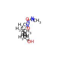 CC(CCC(=O)N1CCN(C(=O)c2cnn(C)c2)CC1C)[C@H]1CC[C@H]2[C@@H]3CC=C4C[C@@H](O)CC[C@]4(C)[C@H]3CC[C@]12C